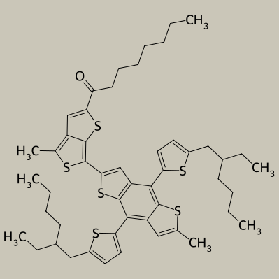 CCCCCCCC(=O)c1cc2c(C)sc(-c3cc4c(-c5ccc(CC(CC)CCCC)s5)c5sc(C)cc5c(-c5ccc(CC(CC)CCCC)s5)c4s3)c2s1